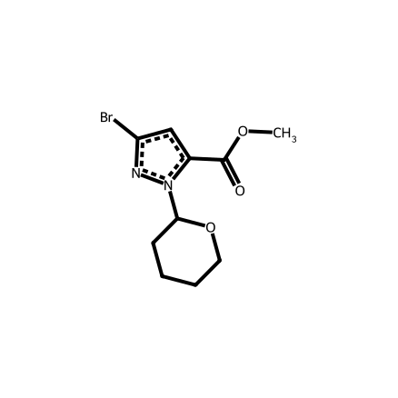 COC(=O)c1cc(Br)nn1C1CCCCO1